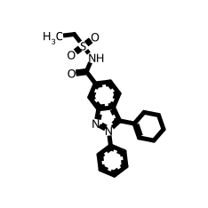 CCS(=O)(=O)NC(=O)c1ccc2c(C3=CCCCC3)n(-c3ccccc3)nc2c1